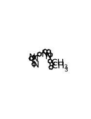 CC1(C)c2ccccc2-c2ccc(-c3ccc4ccc5ccc(-c6ccc(-c7cn8cccc(-c9cccnc9)c8n7)cc6)nc5c4n3)cc21